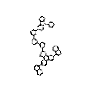 c1ccc(-n2c3ccccc3c3cc(-c4cccc(-c5cccc(-c6cccc(-c7cnc8c9cc(-c%10cccc%11ccccc%10%11)ccc9c9ccc(-c%10cccc%11ccccc%10%11)cc9c8n7)c6)c5)c4)ccc32)cc1